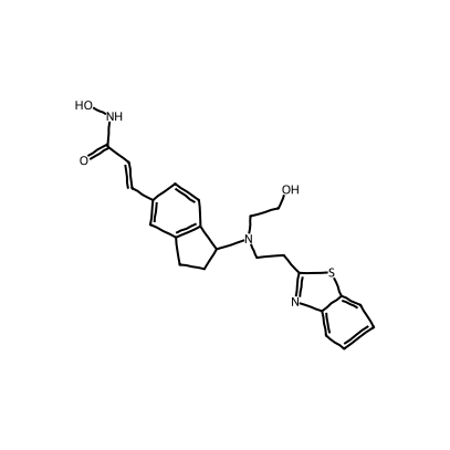 O=C(/C=C/c1ccc2c(c1)CCC2N(CCO)CCc1nc2ccccc2s1)NO